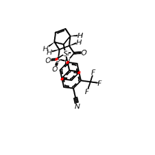 C[Si](C)(c1ccccc1)C1[C@H]2C=C[C@@H]1[C@@H]1C(=O)N(c3ccc(C#N)c(C(F)(F)F)c3)S(=O)(=O)[C@@H]12